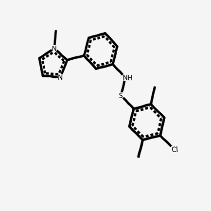 Cc1cc(SNc2cccc(-c3nccn3C)c2)c(C)cc1Cl